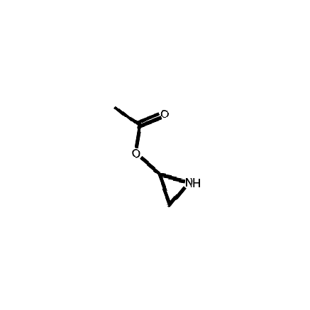 CC(=O)OC1CN1